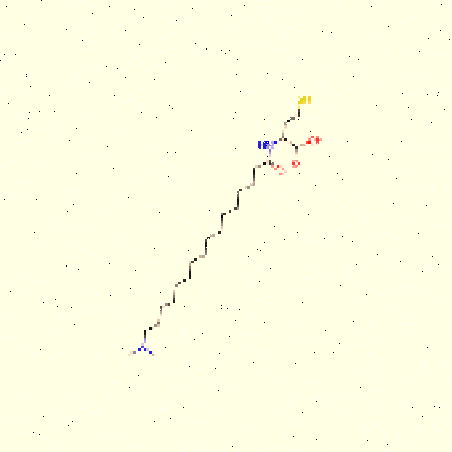 CN(C)CCCCCCCCCCCCCCCC(=O)NC(CCS)C(=O)O